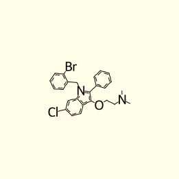 CN(C)CCOc1c(-c2ccccc2)n(Cc2ccccc2Br)c2cc(Cl)ccc12